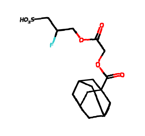 O=C(COC(=O)C12CC3CC(CC(C3)C1)C2)OCC(F)CS(=O)(=O)O